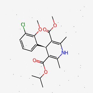 COC(=O)C1=C(C)NC(C)=C(C(=O)OC(C)C)[C@H]1c1cccc(Cl)c1OC